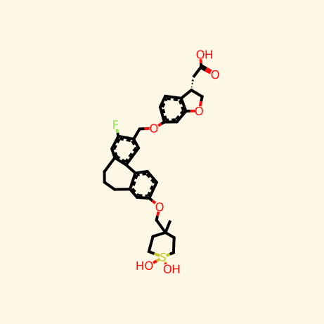 CC1(COc2ccc3c(c2)CCCc2cc(F)c(COc4ccc5c(c4)OC[C@H]5CC(=O)O)cc2-3)CCS(O)(O)CC1